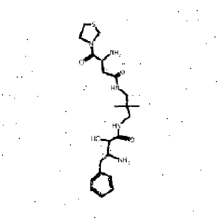 CC(C)(CNC(=O)CC(N)C(=O)N1CCSC1)CNC(=O)C(O)C(N)Cc1ccccc1